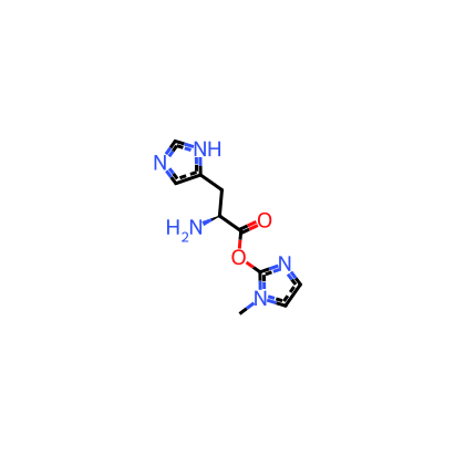 Cn1ccnc1OC(=O)[C@@H](N)Cc1cnc[nH]1